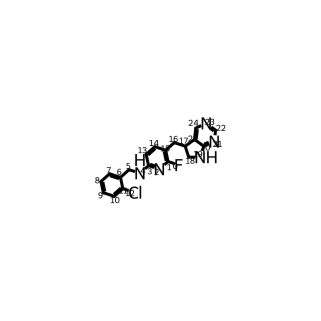 Fc1nc(NCc2ccccc2Cl)ccc1CC1CNc2ncncc21